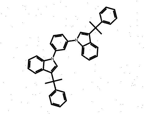 CC(C)(c1ccccc1)c1cn(-c2cccc(-n3cc(C(C)(C)c4ccccc4)c4ccccc43)c2)c2ccccc12